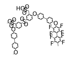 COc1ccc(-c2ccc(Oc3ccc(S(=O)(=O)c4ccc(Oc5ccc(-c6ccc(Oc7c(F)c(F)c(-c8c(F)c(F)c(C)c(F)c8F)c(F)c7F)cc6)cc5)c(CS(=O)(=O)O)c4)cc3S(=O)(=O)OC)cc2)cc1